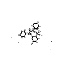 Cc1ccc(S(=O)(=O)Oc2ccccc2NC(=O)Nc2ccccc2)cc1